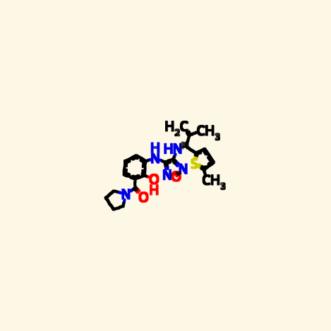 C=C(C)[C@@H](Nc1nonc1Nc1cccc(C(=O)N2CCCC2)c1O)c1ccc(C)s1